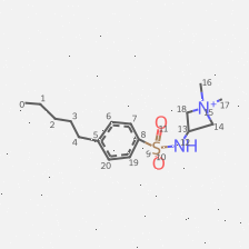 CCCCCc1ccc(S(=O)(=O)NC2C[N+](C)(C)C2)cc1